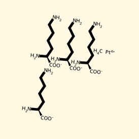 C.NCCCC[C@H](N)C(=O)[O-].NCCCC[C@H](N)C(=O)[O-].NCCCC[C@H](N)C(=O)[O-].NCCCC[C@H](N)C(=O)[O-].[Pt+4]